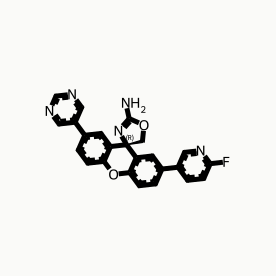 NC1=N[C@@]2(CO1)c1cc(-c3cncnc3)ccc1Oc1ccc(-c3ccc(F)nc3)cc12